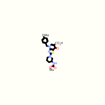 COc1ccc(Cn2cc(C(=O)O)c(=O)c3sc(N4CCCC(NC(=O)OC(C)(C)C)C4)nc32)cc1